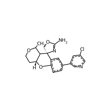 CC1OCC[C@H]2Oc3ccc(-c4cncc(Cl)c4)cc3[C@@]3(COC(N)=N3)C12